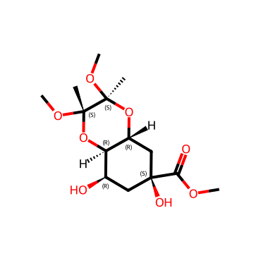 COC(=O)[C@]1(O)C[C@@H](O)[C@H]2O[C@](C)(OC)[C@@](C)(OC)O[C@@H]2C1